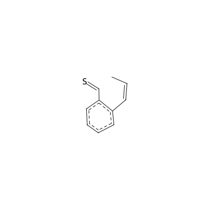 C/C=C\c1ccccc1C=S